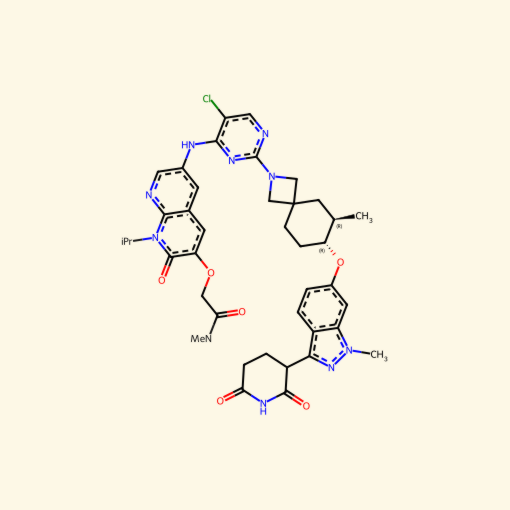 CNC(=O)COc1cc2cc(Nc3nc(N4CC5(CC[C@@H](Oc6ccc7c(C8CCC(=O)NC8=O)nn(C)c7c6)[C@H](C)C5)C4)ncc3Cl)cnc2n(C(C)C)c1=O